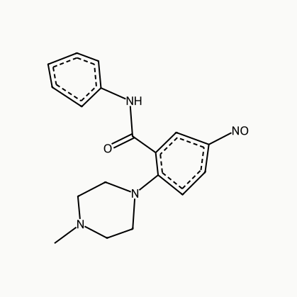 CN1CCN(c2ccc(N=O)cc2C(=O)Nc2ccccc2)CC1